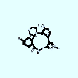 CN1Cc2nn(C)cc2-c2cnc(N)c(c2)N2CCOC[C@@H]2c2cc(F)ccc2C1=O